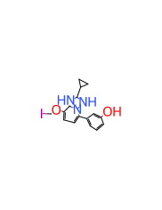 Oc1cccc(C2=CC=C(OCI)C3NC(C4CC4)NN23)c1